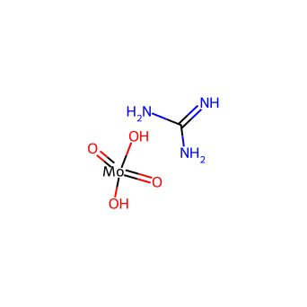 N=C(N)N.[O]=[Mo](=[O])([OH])[OH]